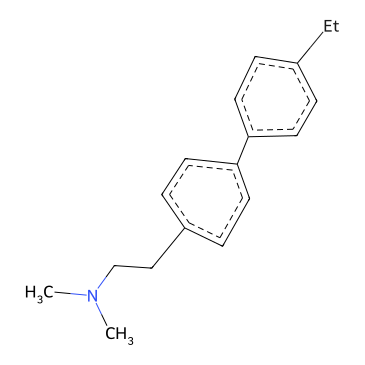 CCc1ccc(-c2ccc(CCN(C)C)cc2)cc1